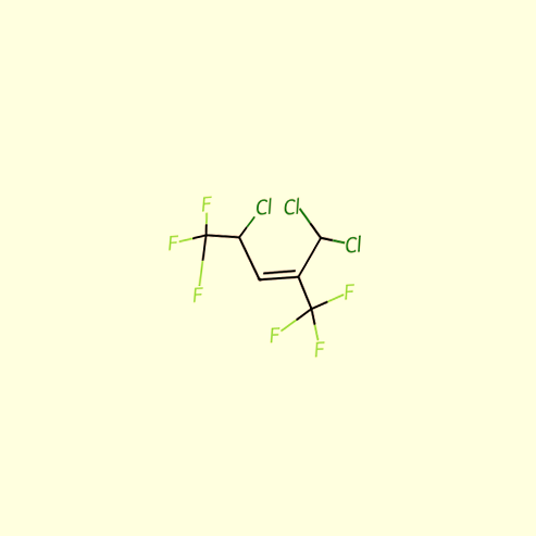 FC(F)(F)/C(=C/C(Cl)C(F)(F)F)C(Cl)Cl